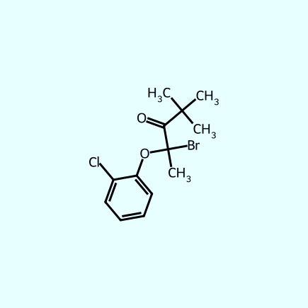 CC(C)(C)C(=O)C(C)(Br)Oc1ccccc1Cl